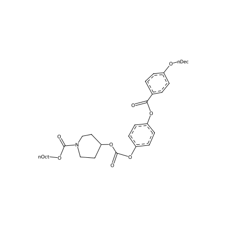 CCCCCCCCCCOc1ccc(C(=O)Oc2ccc(OC(=O)OC3CCN(C(=O)OCCCCCCCC)CC3)cc2)cc1